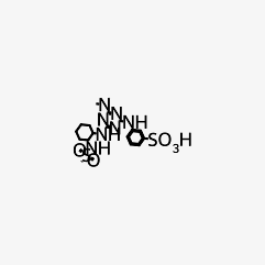 CN(C)c1nc(Nc2cccc(S(=O)(=O)O)c2)nc(NC2CCCCC2NS(C)(=O)=O)n1